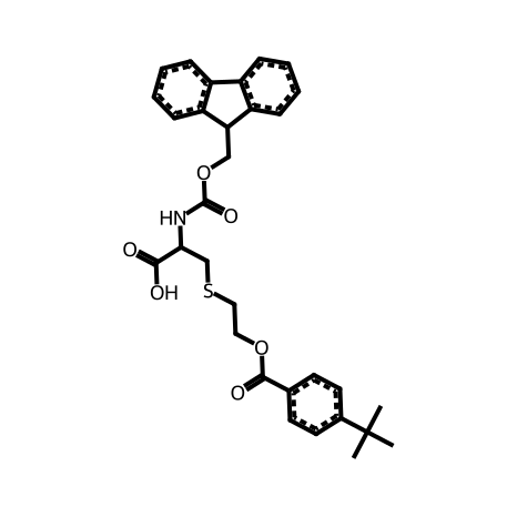 CC(C)(C)c1ccc(C(=O)OCCSCC(NC(=O)OCC2c3ccccc3-c3ccccc32)C(=O)O)cc1